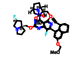 C#Cc1cccc2cc(OCOC)cc(-c3nc4c5c(nc(OC[C@]67CCCN6C[C@H](F)C7)nc5c3F)N3C[C@@H]5CC[C@H]([C@H]3CO4)N5C(=O)OC(C)(C)C)c12